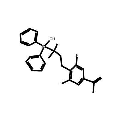 C=C(C)c1cc(F)c(CCC(C)(C)[Si](O)(c2ccccc2)c2ccccc2)c(F)c1